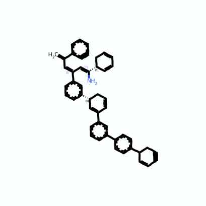 C=C(/C=C(\C=C(/N)[C@H]1C=CC=CC1)c1cccc([C@H]2C=C(c3cccc(-c4ccc(C5C=CC#CC5)cc4)c3)C=CC2)c1)c1c#cccc1